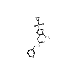 Cn1nc(S(=O)(=O)C2CC2)cc1SC(=O)OCc1ccccc1